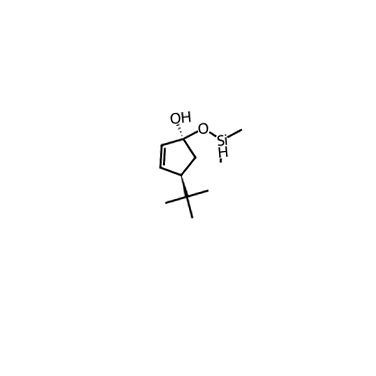 C[SiH](C)O[C@]1(O)C=C[C@H](C(C)(C)C)C1